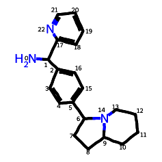 NC(c1ccc(C2CCC3CCCCN32)cc1)c1ccccn1